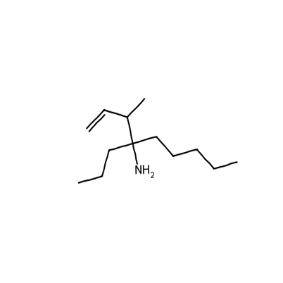 C=CC(C)C(N)(CCC)CCCCC